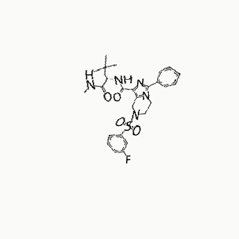 CNC(=O)[C@@H](NC(=O)c1nc(-c2ccccc2)n2c1CN(S(=O)(=O)c1cccc(F)c1)CC2)C(C)(C)C